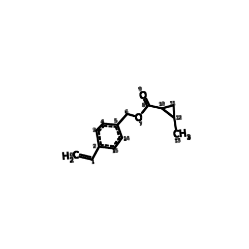 C=Cc1ccc(COC(=O)C2CC2C)cc1